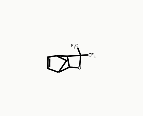 FC(F)(F)C1(C(F)(F)F)OC2C3C=CC(C3)C21